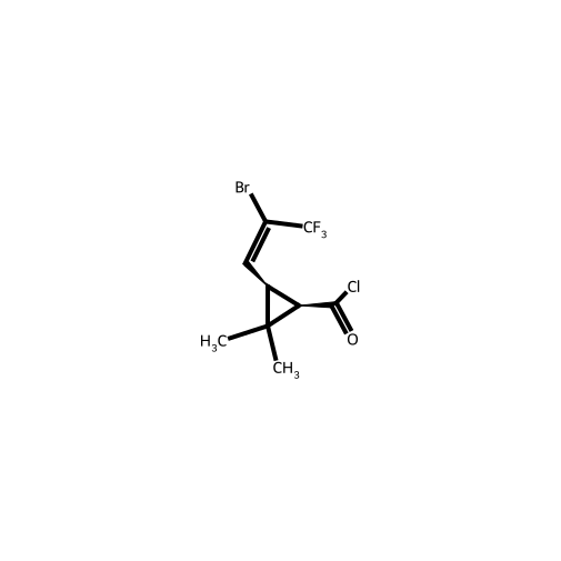 CC1(C)[C@H](C(=O)Cl)[C@@H]1/C=C(/Br)C(F)(F)F